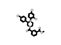 COC(=O)c1cccc(C(=O)N2CCN(c3ccc(Cl)cc3Cl)C(c3ccc(Cl)cc3)C2)c1